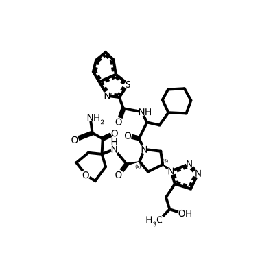 CC(O)Cc1cnnn1[C@H]1C[C@@H](C(=O)NC2(C(=O)C(N)=O)CCOCC2)N(C(=O)C(CC2CCCCC2)NC(=O)c2nc3ccccc3s2)C1